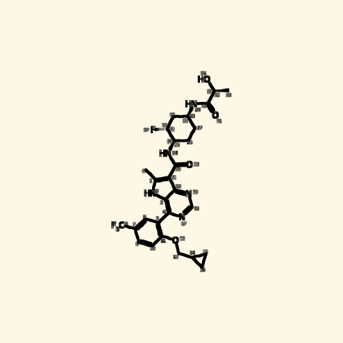 Cc1[nH]c2c(-c3cc(C(F)(F)F)ccc3OCC3CC3)ncnc2c1C(=O)N[C@@H]1CC[C@H](NC(=O)[C@H](C)O)C[C@H]1F